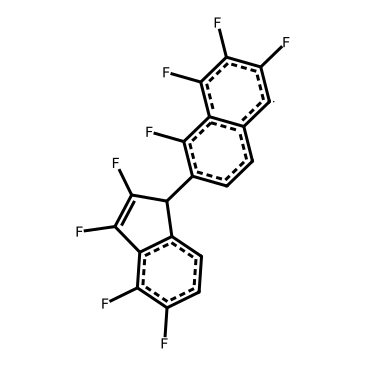 FC1=C(F)C(c2ccc3[c]c(F)c(F)c(F)c3c2F)c2ccc(F)c(F)c21